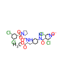 COC(=O)[C@H](Cc1ccc(NC(=O)c2c(Cl)c[n+]([O-])cc2Cl)cc1)NC(=O)[C@H]1CCCN1S(=O)(=O)c1cc(Cl)cc(Cl)c1